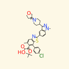 Cc1cc2nc(-c3ccc4c(c3)c(C3CCN([C@@H]5CCOC5)CC3)nn4C)sc2c(-c2ccc(Cl)cc2)c1[C@H](OC(C)(C)C)C(=O)O